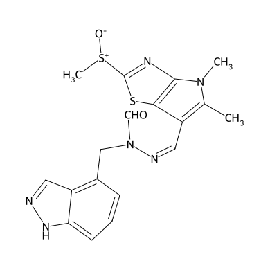 Cc1c(/C=N\N(C=O)Cc2cccc3[nH]ncc23)c2sc([S+](C)[O-])nc2n1C